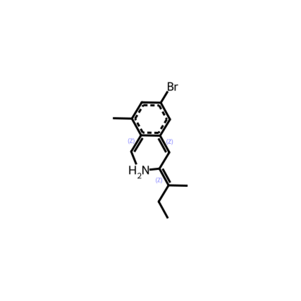 C/C=c1/c(C)cc(Br)c/c1=C/C(N)=C(\C)CC